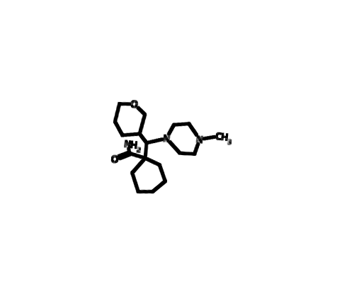 CN1CCN(C(C2CCCOC2)C2(C(N)=O)CCCCC2)CC1